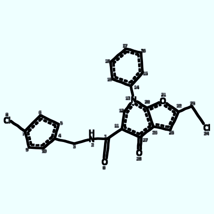 O=C(NCc1ccc(Cl)cc1)c1cn(-c2ccccc2)c2oc(CCl)cc2c1=O